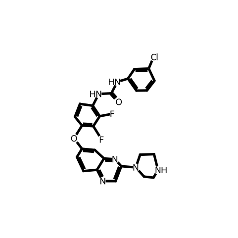 O=C(Nc1cccc(Cl)c1)Nc1ccc(Oc2ccc3ncc(N4CCNCC4)nc3c2)c(F)c1F